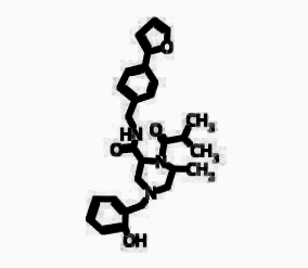 CC(C)C(=O)N1C(C)CN(Cc2ccccc2O)CC1C(=O)NCc1ccc(-c2ccco2)cc1